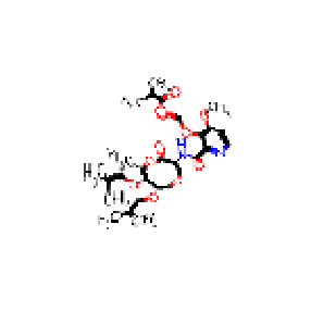 COc1ccnc(C(=O)N[C@H]2COC[C@H](OCC(C)C)[C@@H](OCC(C)C)[C@H](C)OC2=O)c1OCOC(=O)C(C)C